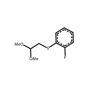 COC(CSc1ccccc1F)OC